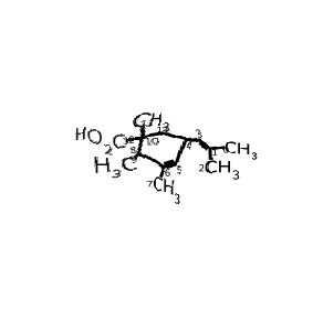 CC(C)=CC1C=C(C)C(C)C(C)(C(=O)O)C1